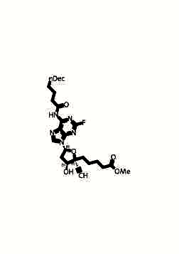 C#C[C@@]1(CCCCC(=O)OC)O[C@@H](n2cnc3c(NC(=O)CCCCCCCCCCCCC)nc(F)nc32)C[C@@H]1O